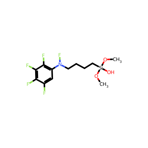 CO[Si](O)(CCCCN(F)c1cc(F)c(F)c(F)c1F)OC